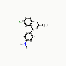 CC(=CC(c1ccc(N(C)C)cc1)c1cccc(F)c1)C(=O)O